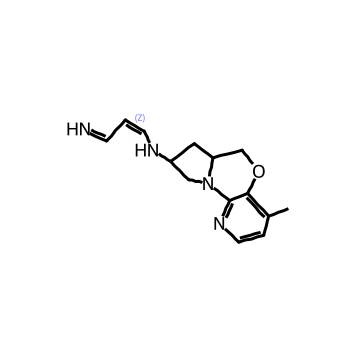 Cc1ccnc2c1OCC1CC(N/C=C\C=N)CN21